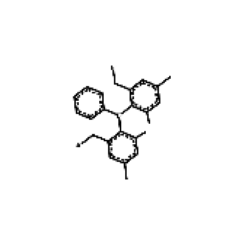 Cc1cc(C)c(B(c2ccccc2)c2c(C)cc(C)cc2CBr)c(CBr)c1